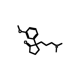 COc1cccc(C2(CCCN(C)C)CCCC2=O)c1